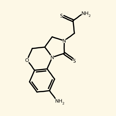 NC(=S)CN1CC2COc3ccc(N)cc3N2C1=S